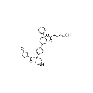 C/C=C/C=C/C(=O)OC1(c2ccccc2)CCN(c2ccc(C3(OC(=O)C4CCC(=O)C4)CCNCC3)cc2)CC1